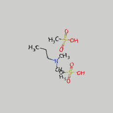 CCCN(C)C.CS(=O)(=O)O.CS(=O)(=O)O